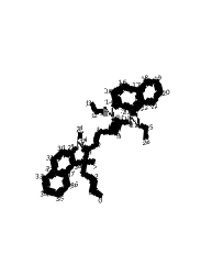 C/C=C/CC1(C)C(/C=C/C=C2\N(CC)c3ccc4ccccc4c3N2CC)=[N+](C)c2ccc3ccccc3c21